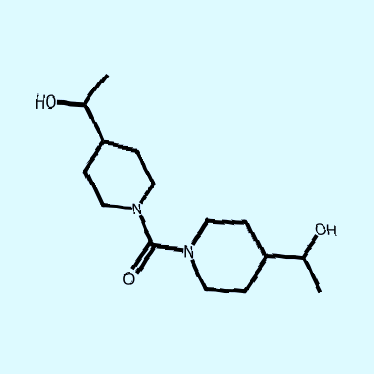 CC(O)C1CCN(C(=O)N2CCC(C(C)O)CC2)CC1